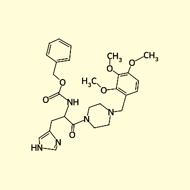 COc1ccc(CN2CCN(C(=O)C(Cc3c[nH]cn3)NC(=O)OCc3ccccc3)CC2)c(OC)c1OC